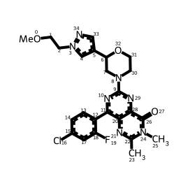 COCCn1cc(C2CN(c3nc(-c4ccc(Cl)cc4F)c4nc(C)n(C)c(=O)c4n3)CCO2)cn1